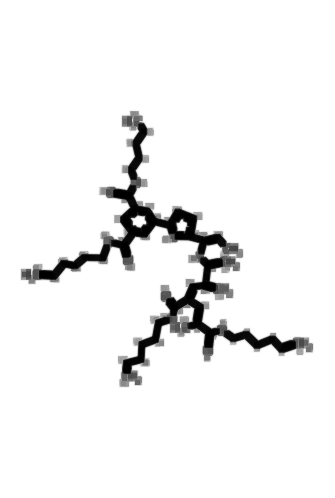 C=CCCCCOC(=O)/C(C)=C/C(=C\C(=C)C(=C)S/C(=C\C)c1ccc(-c2cc(C(=O)OCCCCC)cc(C(=O)OCCCCC=C)c2)s1)C(=O)OCCCCC=C